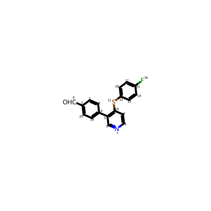 O=Cc1ccc(-c2cnccc2Sc2ccc(F)cc2)cc1